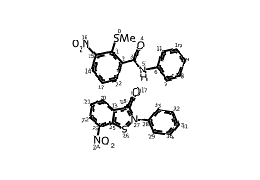 CSc1c(C(=O)Nc2ccccc2)cccc1[N+](=O)[O-].O=c1c2cccc([N+](=O)[O-])c2sn1-c1ccccc1